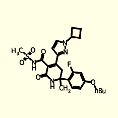 CCCCOc1ccc(C2(C)CC(c3ccn(C4CCC4)n3)=C(C(=O)NS(C)(=O)=O)C(=O)N2)c(F)c1